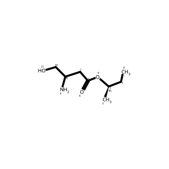 CC[C@@H](C)OC(=O)CC(N)CO